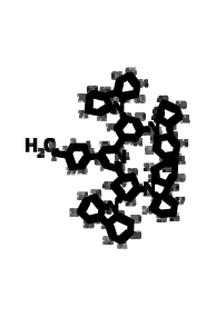 C=Cc1ccc(-c2cc(-c3cc(-n4c5ccccc5c5ccccc54)cc(-n4c5ccccc5c5ccccc54)c3)nc(-c3cc(-n4c5ccccc5c5ccccc54)cc(-n4c5ccccc5c5ccccc54)c3)c2)cc1